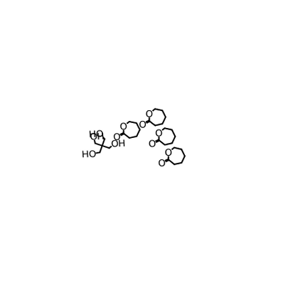 O=C1CCCCCO1.O=C1CCCCCO1.O=C1CCCCCO1.O=C1CCCCCO1.OCC(CO)(CO)CO